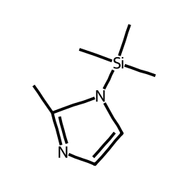 Cc1nccn1[Si](C)(C)C